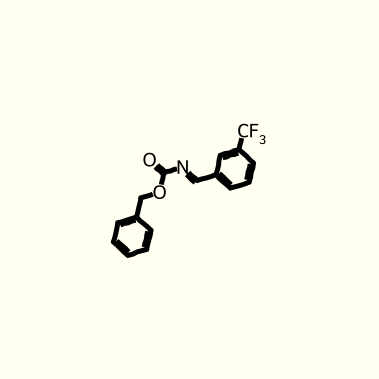 O=C(N=Cc1cccc(C(F)(F)F)c1)OCc1ccccc1